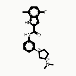 Cc1ccc(F)c2cc(C(=O)Nc3cccc([C@H]4CC[C@H](N(C)C)C4)c3)[nH]c12